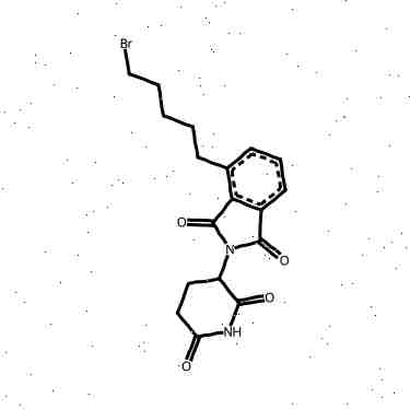 O=C1CCC(N2C(=O)c3cccc(CCCCCBr)c3C2=O)C(=O)N1